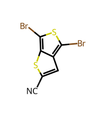 N#Cc1cc2c(Br)sc(Br)c2s1